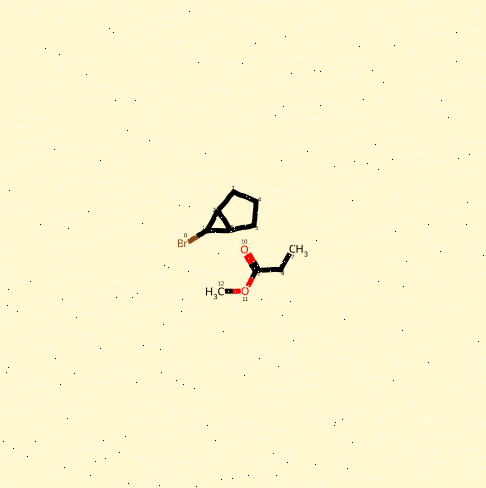 BrC1C2CCCC12.CCC(=O)OC